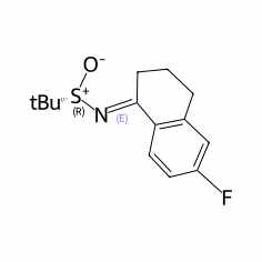 CC(C)(C)[S@+]([O-])/N=C1\CCCc2cc(F)ccc21